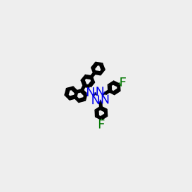 Fc1ccc(-c2nc(-c3ccc(F)cc3)nc(-n3c4cc(-c5ccccc5)ccc4c4c5ccccc5ccc43)n2)cc1